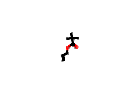 C=CCOC(=O)C(C)(C)C